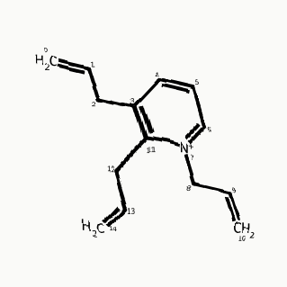 C=CCc1ccc[n+](CC=C)c1CC=C